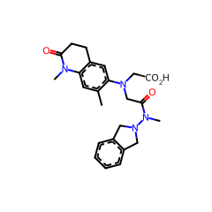 Cc1cc2c(cc1N(CC(=O)O)CC(=O)N(C)N1Cc3ccccc3C1)CCC(=O)N2C